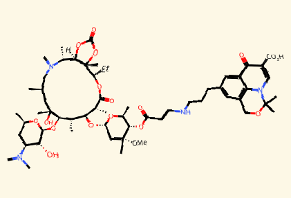 CC[C@H]1OC(=O)[C@H](C)[C@@H](O[C@H]2C[C@@](C)(OC)[C@@H](OC(=O)CCNCCCc3cc4c5c(c3)c(=O)c(C(=O)O)cn5C(C)(C)OC4)[C@H](C)O2)[C@H](C)[C@@H](O[C@@H]2O[C@H](C)C[C@H](N(C)C)[C@H]2O)[C@](C)(O)C[C@@H](C)CN(C)[C@H](C)[C@H]2OC(=O)O[C@@]21C